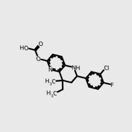 CCC1(C)CC(c2ccc(F)c(Cl)c2)Nc2ccc(OC(=O)O)nc21